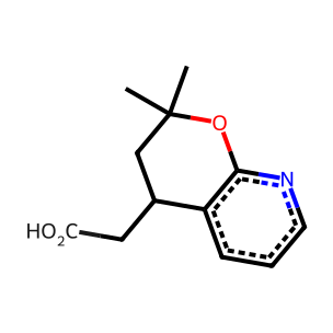 CC1(C)CC(CC(=O)O)c2cccnc2O1